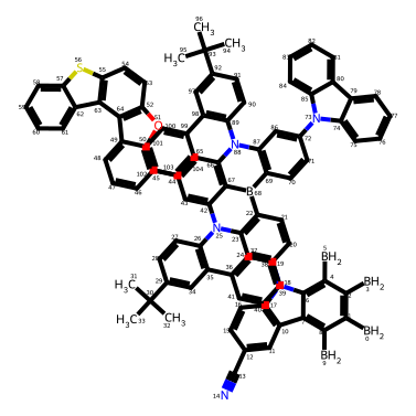 Bc1c(B)c(B)c2c(c1B)c1cc(C#N)ccc1n2-c1ccc2c(c1)N(c1ccc(C(C)(C)C)cc1-c1ccccc1)c1cc(-c3cccc4c3oc3ccc5sc6ccccc6c5c34)cc3c1B2c1ccc(-n2c4ccccc4c4ccccc42)cc1N3c1ccc(C(C)(C)C)cc1-c1ccccc1